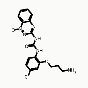 NCCCOc1cc(Cl)ccc1NC(=O)Nc1nc2ccccc2[n+]([O-])n1